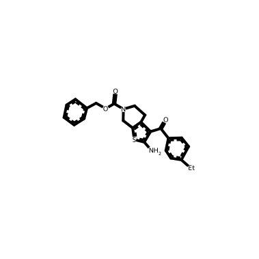 CCc1ccc(C(=O)c2c(N)sc3c2CCN(C(=O)OCc2ccccc2)C3)cc1